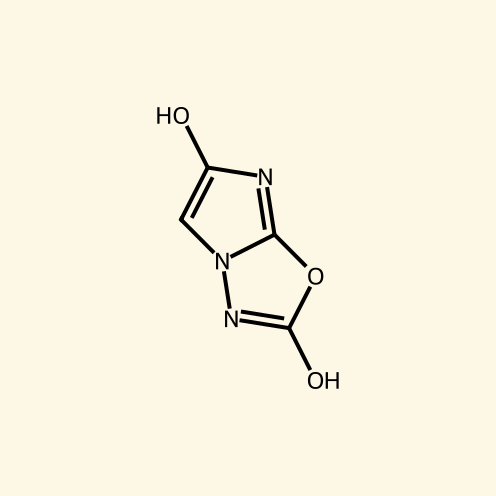 Oc1cn2nc(O)oc2n1